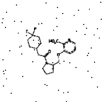 O=C(O)c1ncccc1OCC1CCCN1C(=O)CC1CCC(F)(F)CC1